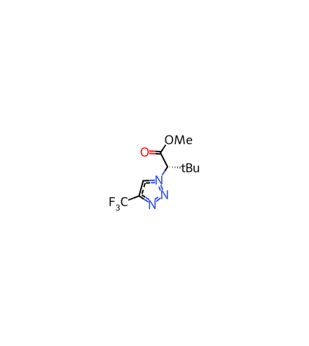 COC(=O)[C@@H](n1cc(C(F)(F)F)nn1)C(C)(C)C